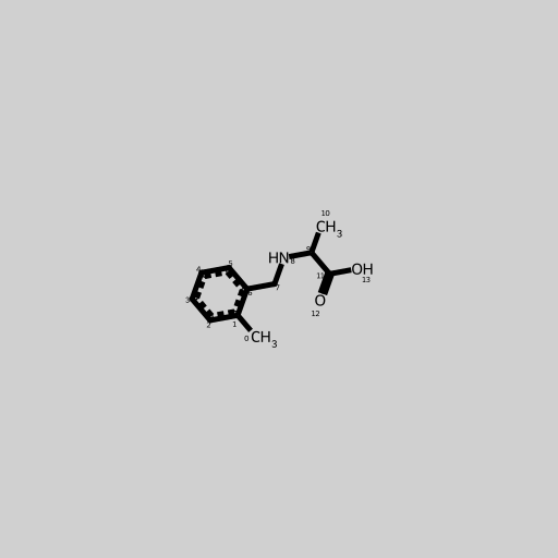 Cc1ccccc1CNC(C)C(=O)O